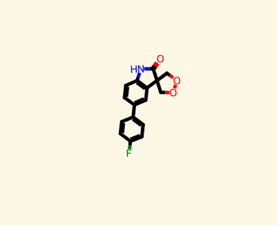 O=C1Nc2ccc(-c3ccc(F)cc3)cc2C12COOC2